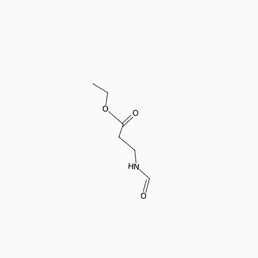 CCOC(=O)CCNC=O